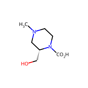 CN1CCN(C(=O)O)[C@H](CO)C1